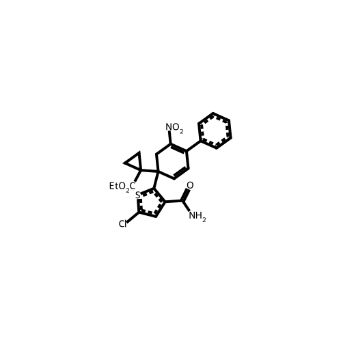 CCOC(=O)C1(C2(c3sc(Cl)cc3C(N)=O)C=CC(c3ccccc3)=C([N+](=O)[O-])C2)CC1